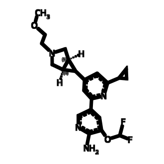 COCCN1C[C@@H]2C(c3cc(-c4cnc(N)c(OC(F)F)c4)nc(C4CC4)c3)[C@@H]2C1